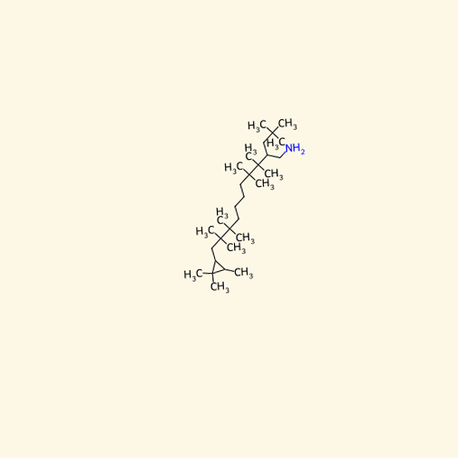 CC1C(CC(C)(C)C(C)(C)CCCCC(C)(C)C(C)(C)C(CN)CC(C)(C)C)C1(C)C